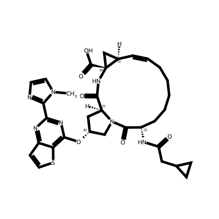 Cn1ccnc1-c1nc(O[C@@H]2C[C@H]3C(=O)N[C@]4(C(=O)O)C[C@H]4C=CCCCCC[C@H](NC(=O)CC4CC4)C(=O)N3C2)c2sccc2n1